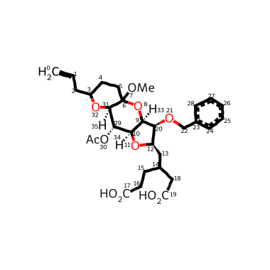 C=CCC1CCC2(OC)O[C@@H]3[C@@H](O[C@H](CC(CCC(=O)O)CC(=O)O)[C@@H]3OCc3ccccc3)[C@H](OC(C)=O)[C@H]2O1